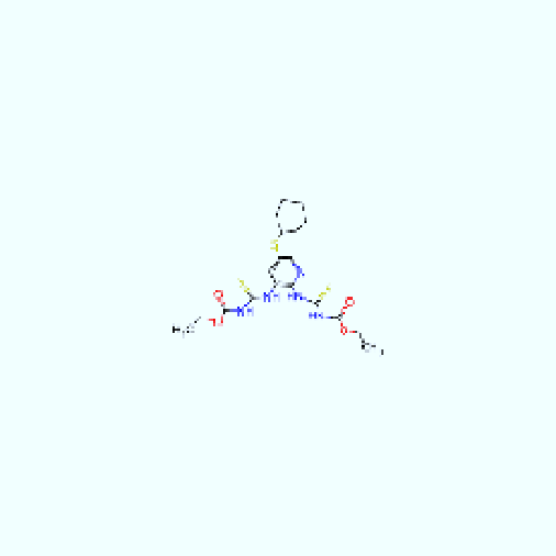 CCOC(=O)NC(=S)Nc1cc(SC2CCCCC2)cnc1NC(=S)NC(=O)OCC